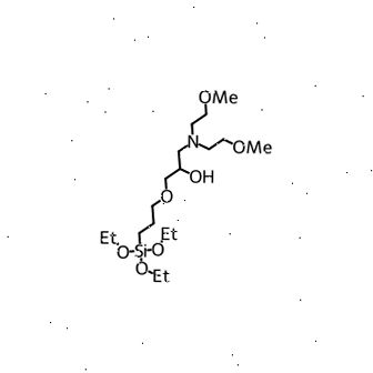 CCO[Si](CCCOCC(O)CN(CCOC)CCOC)(OCC)OCC